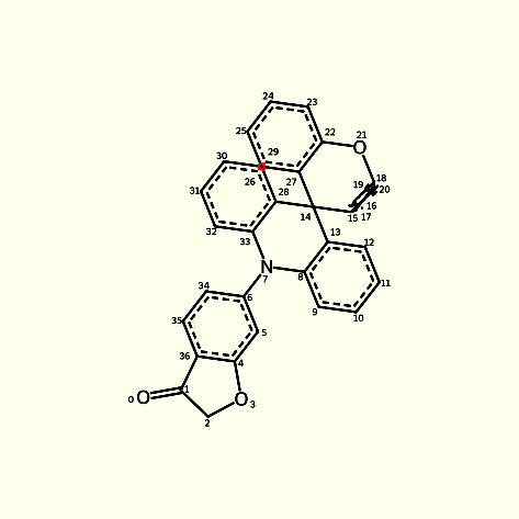 O=C1COc2cc(N3c4ccccc4C4(c5ccccc5Oc5ccccc54)c4ccccc43)ccc21